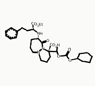 CCOC(=O)[C@H](CCc1ccccc1)N[C@H]1CCCN2CCC[C@@](C(=O)O)(C(C)OC(=O)OC3CCCCC3)N2C1=O